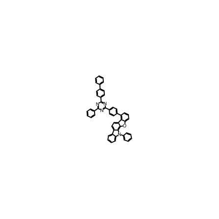 c1ccc(-c2ccc(-c3nc(-c4ccccc4)nc(-c4ccc(-c5cccc6oc7c(ccc8c9ccccc9n(-c9ccccc9)c87)c56)cc4)n3)cc2)cc1